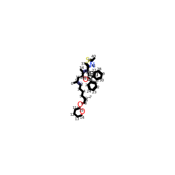 C/C(=C\CCC[C@H](C)COC1CCCCO1)C[C@H](O[Si](c1ccccc1)(c1ccccc1)C(C)(C)C)/C(C)=C/c1csc(C)n1